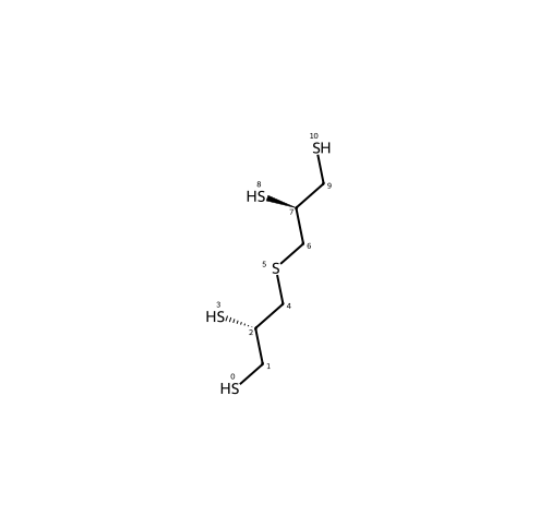 SC[C@H](S)CSC[C@@H](S)CS